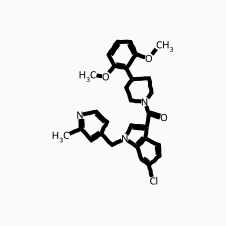 COc1cccc(OC)c1C1CCN(C(=O)c2cn(Cc3ccnc(C)c3)c3cc(Cl)ccc23)CC1